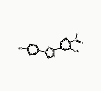 Cc1cc(-c2ncn(-c3ccc(O)cc3)n2)ccc1[N+](=O)[O-]